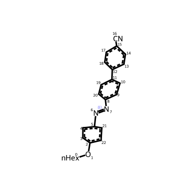 CCCCCCOc1ccc(/N=N/c2ccc(-c3ccc(C#N)cc3)cc2)cc1